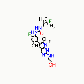 Cc1cc(F)c(NC(=O)NCCC(C)(C)F)cc1-c1cc2cnc(NCCO)nc2nc1C